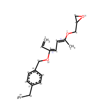 C=C/C(=C\C=C(/C)OCC1CO1)OCc1ccc(CC(C)C)cc1